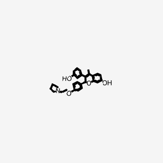 CC1=C(c2cccc(O)c2)C(c2ccc(OCCN3CCCC3)cc2)Oc2cc(O)ccc21